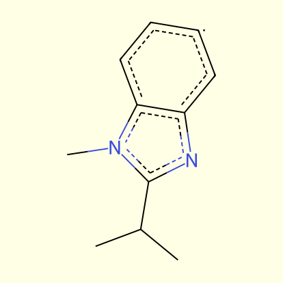 CC(C)c1nc2c[c]ccc2n1C